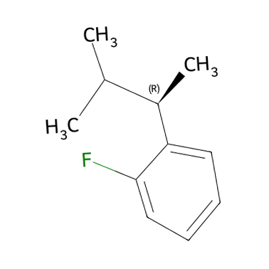 CC(C)[C@@H](C)c1ccccc1F